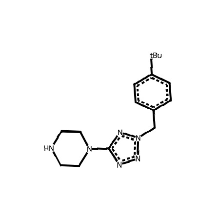 CC(C)(C)c1ccc(Cn2nnc(N3CCNCC3)n2)cc1